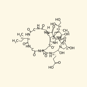 CC[C@H](C)[C@@H]1NC(=O)CNC(=O)[C@@H]2Cc3c([nH]c4cc(O)ccc34)[S+]([O-])C[C@H](NC(=O)CNC1=O)C(=O)N[C@@H](CCC(=O)O)C(O)N1C[C@H](O)C[C@H]1C(=O)N[C@@H]([C@@H](C)[C@@H](O)CO)C(=O)N2